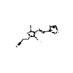 Cc1nn(CCC#N)c(N)c1N=Nc1ncns1